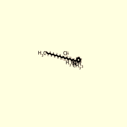 CCCCCCCCCCCCCCCCCCC(c1ccccc1)[N+](C)(C)C.[Cl-]